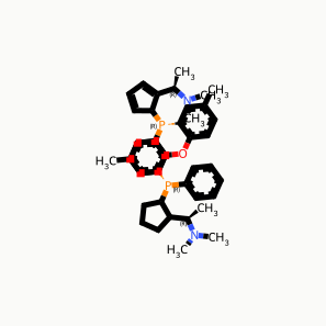 Cc1ccc(Oc2ccc(C)cc2[P@](c2ccccc2)C2CCCC2[C@@H](C)N(C)C)c([P@](c2ccccc2)C2C=CC=C2[C@@H](C)N(C)C)c1